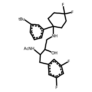 CC(=O)NC(Cc1cc(F)cc(F)c1)C(O)CNC1(c2cccc(C(C)(C)C)c2)CCC(F)(F)CC1